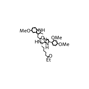 CCC(=O)CCCCC[C@H](NC(=O)Cc1c(C)[nH]c2ccc(OC)cc12)c1ncc(-c2ccc(OC)cc2OC)[nH]1